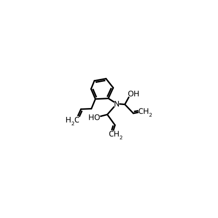 C=CCc1ccccc1N(C(O)C=C)C(O)C=C